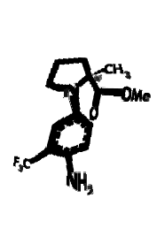 COC(=O)[C@]1(C)CCCN1c1ccc(N)c(C(F)(F)F)c1